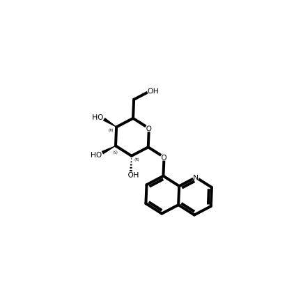 OCC1OC(Oc2cccc3cccnc23)[C@H](O)[C@@H](O)[C@H]1O